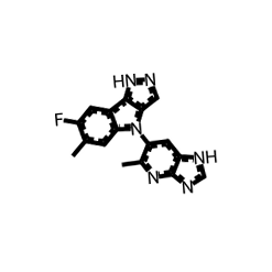 Cc1cc2c(cc1F)c1[nH]ncc1n2-c1cc2[nH]cnc2nc1C